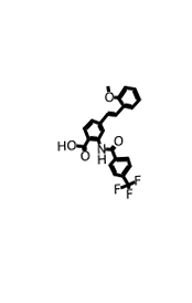 COc1ccccc1/C=C/c1ccc(C(=O)O)c(NC(=O)c2ccc(C(F)(F)F)cc2)c1